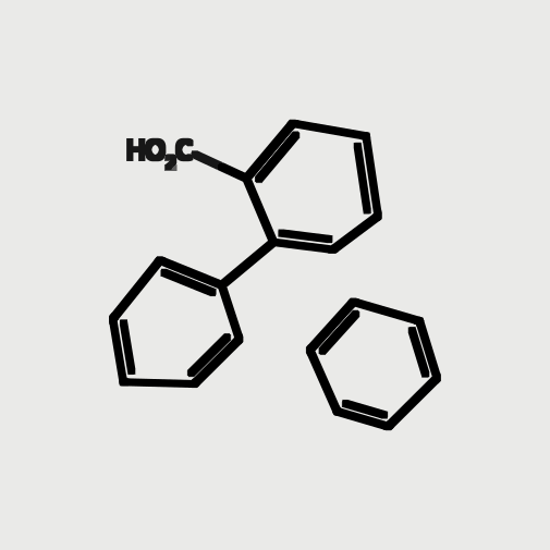 O=C(O)c1ccccc1-c1ccccc1.c1ccccc1